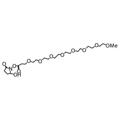 COCCOCCOCCOCCOCCOCCOCCOCCC(=O)ON1C(=O)CCC1O